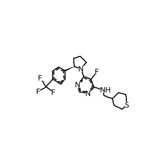 Fc1c(NCC2CCSCC2)ncnc1N1CCC[C@@H]1c1ccc(C(F)(F)F)cc1